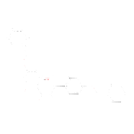 O=c1c(O)c(-c2ccc(OCc3ccccc3)cc2)oc2cc(OCc3ccccc3)cc(O)c12